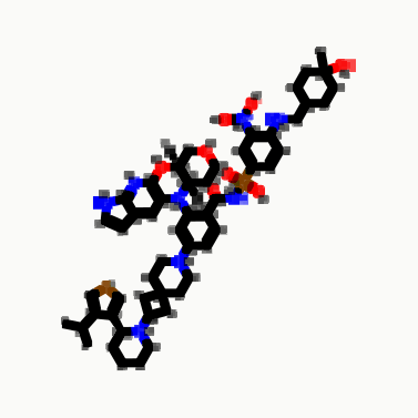 CC(C)c1cscc1[C@@H]1CCCCN1C1CC2(CCN(c3ccc(C(=O)NS(=O)(=O)c4ccc(NCC5CCC(C)(O)CC5)c([N+](=O)[O-])c4)c(N4c5cc6cc[nH]c6nc5O[C@H]5COCC[C@@H]54)c3)CC2)C1